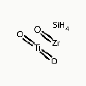 [O]=[Ti]=[O].[O]=[Zr].[SiH4]